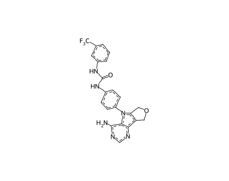 Nc1ncnc2c3c(n(-c4ccc(NC(=O)Nc5cccc(C(F)(F)F)c5)cc4)c12)COC3